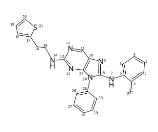 Fc1ccccc1Nc1nc2cnc(NCCc3cccs3)nc2n1-c1ccccc1